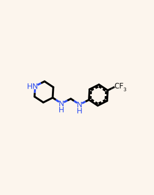 FC(F)(F)c1ccc(NCNC2CCNCC2)cc1